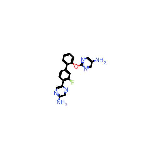 Nc1cnc(Oc2ccccc2-c2ccc(-c3cnc(N)cn3)c(F)c2)nc1